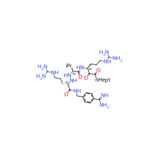 CCCCCCCC(=O)C(=O)[C@H](CCCNC(N)N)NC(=O)[C@@H](NN[C@@H](CCCNC(N)N)C(=O)NCc1ccc(C(=N)N)cc1)C(C)C